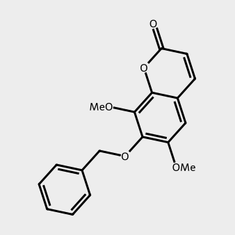 COc1cc2ccc(=O)oc2c(OC)c1OCc1ccccc1